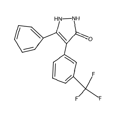 O=c1[nH][nH]c(-c2ccccc2)c1-c1cccc(C(F)(F)F)c1